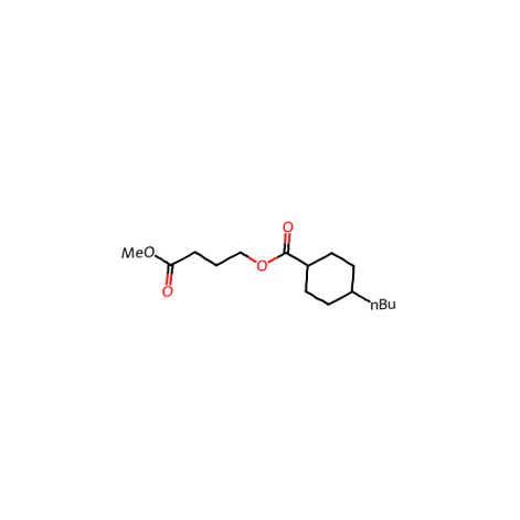 CCCCC1CCC(C(=O)OCCCC(=O)OC)CC1